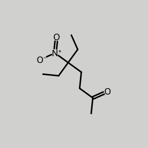 CCC(CC)(CCC(C)=O)[N+](=O)[O-]